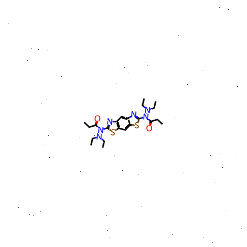 CCC(=O)N(c1nc2cc3nc(N(C(=O)CC)N(CC)CC)sc3cc2s1)N(CC)CC